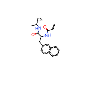 C=CC(=O)NC(Cc1ccc2ccccc2c1)C(=O)NC(C)C#N